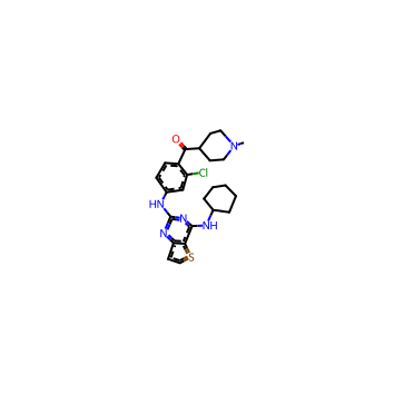 CN1CCC(C(=O)c2ccc(Nc3nc(NC4CCCCC4)c4sccc4n3)cc2Cl)CC1